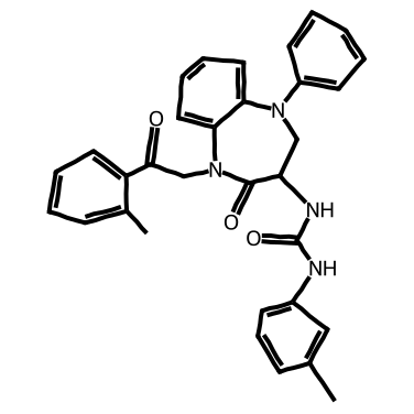 Cc1cccc(NC(=O)NC2CN(c3ccccc3)c3ccccc3N(CC(=O)c3ccccc3C)C2=O)c1